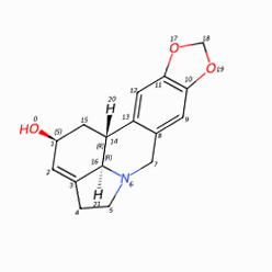 O[C@@H]1C=C2CCN3Cc4cc5c(cc4[C@@H](C1)[C@H]23)OCO5